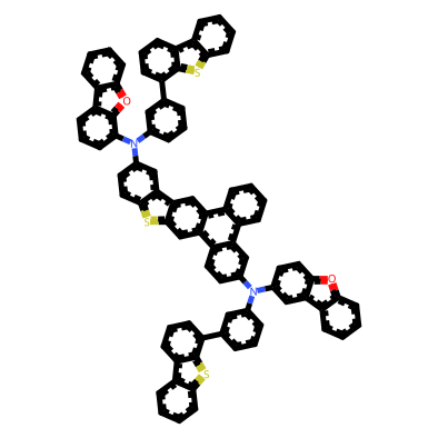 c1cc(-c2cccc3c2sc2ccccc23)cc(N(c2ccc3oc4ccccc4c3c2)c2ccc3c(c2)c2ccccc2c2cc4c(cc32)sc2ccc(N(c3cccc(-c5cccc6c5sc5ccccc56)c3)c3cccc5c3oc3ccccc35)cc24)c1